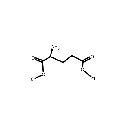 N[C@@H](CCC(=O)OCl)C(=O)OCl